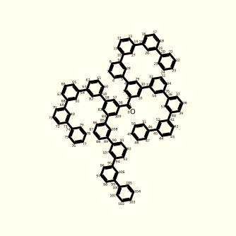 O=C(c1cc(-c2cccc(-c3cccc(-c4cccc(-c5ccccc5)c4)c3)c2)cc(-c2cccc(-c3cccc(-c4cccc(-c5ccccc5)c4)c3)c2)c1)c1cc(-c2cccc(-c3cccc(-c4cccc(-c5ccccc5)c4)c3)c2)cc(-c2cccc(-c3cccc(-c4cccc(-c5ccccc5)c4)c3)c2)c1